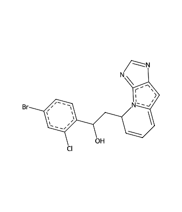 OC(CC1C=CC=c2cc3c(n21)=NC=N3)c1ccc(Br)cc1Cl